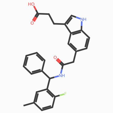 Cc1ccc(F)c(C(NC(=O)Cc2ccc3[nH]cc(CCC(=O)O)c3c2)c2ccccc2)c1